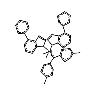 Cc1ccc([C](c2ccc(C)cc2)=[Hf]([CH3])([CH3])([CH]2C=Cc3c(-c4ccccc4)cccc32)[CH]2C=Cc3c(-c4ccccc4)cccc32)cc1